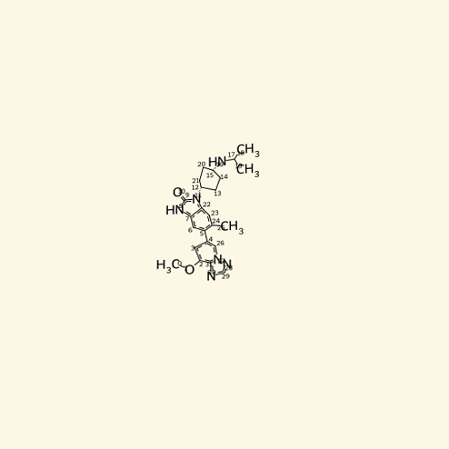 COc1cc(-c2cc3[nH]c(=O)n([C@H]4CC[C@@H](NC(C)C)CC4)c3cc2C)cn2ncnc12